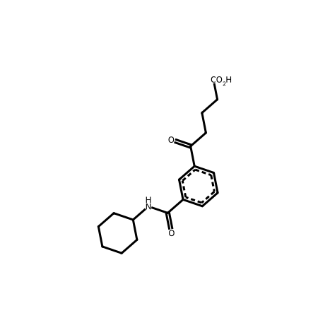 O=C(O)CCCC(=O)c1cccc(C(=O)NC2CCCCC2)c1